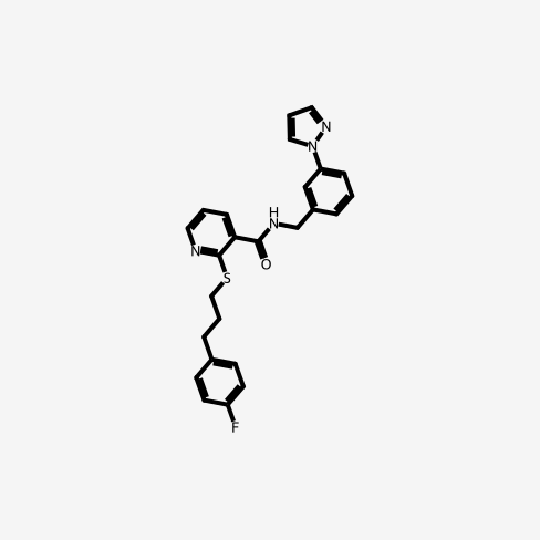 O=C(NCc1cccc(-n2cccn2)c1)c1cccnc1SCCCc1ccc(F)cc1